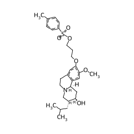 COc1cc2c(cc1OCCCOS(=O)(=O)c1ccc(C)cc1)CCN1C[C@@H](CC(C)C)[C@H](O)C[C@H]21